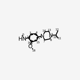 CNc1ccc(N2CCN(C(C)C)CC2)cc1OC